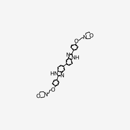 c1cc(-c2nc3cc(-c4ccc5[nH]c(-c6ccc(OCCN7CCOCC7)cc6)nc5c4)ccc3[nH]2)ccc1OCCN1CCOCC1